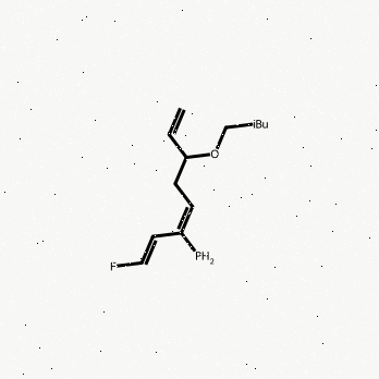 C=CC(C/C=C(P)\C=C\F)OCC(C)CC